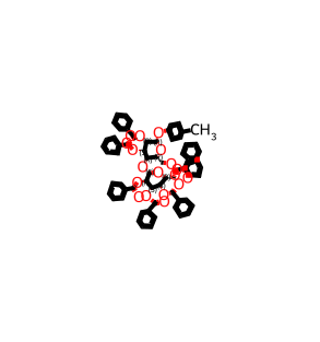 Cc1ccc(O[C@H]2O[C@H](COC(=O)c3ccccc3)[C@@H](O[C@@H]3O[C@H](COC(=O)c4ccccc4)[C@H](OC(=O)c4ccccc4)[C@H](OC(=O)c4ccccc4)[C@H]3OC(=O)c3ccccc3)[C@H](OC(=O)c3ccccc3)[C@H]2OC(=O)c2ccccc2)cc1